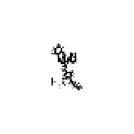 Cc1cc(OCc2cnc(SC3C=CCCC3)n2-c2cccnc2)ccc1C#CC=O